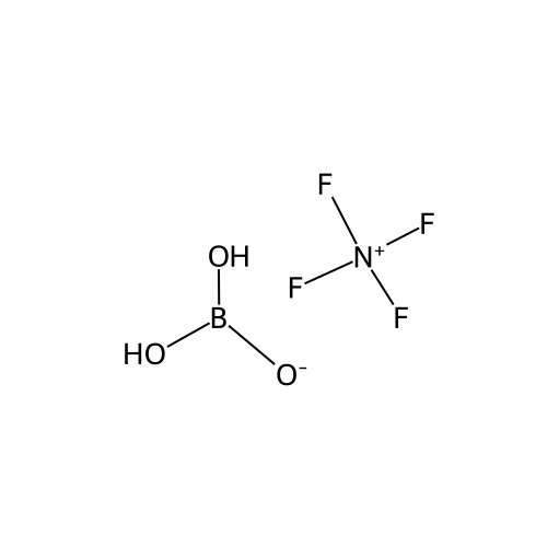 F[N+](F)(F)F.[O-]B(O)O